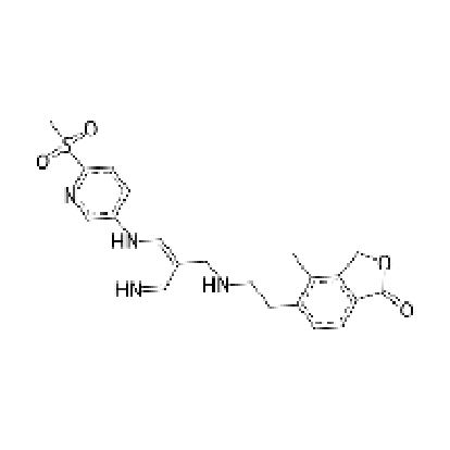 Cc1c(CCNC/C(C=N)=C/Nc2ccc(S(C)(=O)=O)nc2)ccc2c1COC2=O